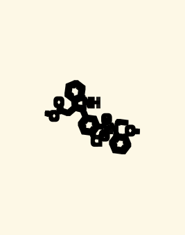 CCN(c1ccccc1OC)S(=O)(=O)c1cc(-c2[nH]c3ccccc3c2CC(=O)OC)ccc1Cl